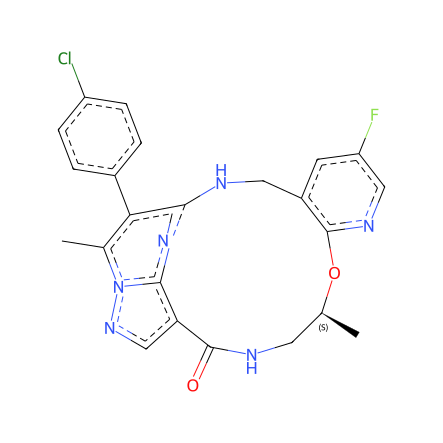 Cc1c(-c2ccc(Cl)cc2)c2nc3c(cnn13)C(=O)NC[C@H](C)Oc1ncc(F)cc1CN2